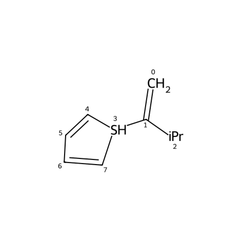 C=C(C(C)C)[SH]1C=CC=C1